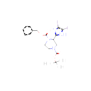 CC(C)(C)OC(=O)N1CCN(C(=O)OCc2ccccc2)C(c2nc(I)c(I)[nH]2)C1